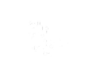 C=C(C)C(=O)OC1(CCC(=O)OC(C(F)(F)F)C(F)(F)S(=O)(=O)O)CC2CCCC(C2)C1